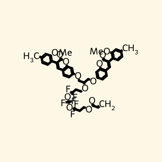 C=CC(=O)OCCC(F)(F)OC(F)(F)OC(F)(F)CCOC(COc1ccc2cc(-c3ccc(C)cc3OC)c(=O)oc2c1)COc1ccc2cc(-c3ccc(C)cc3OC)c(=O)oc2c1